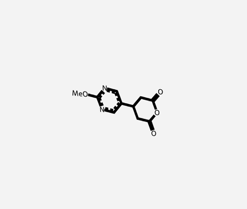 COc1ncc(C2CC(=O)OC(=O)C2)cn1